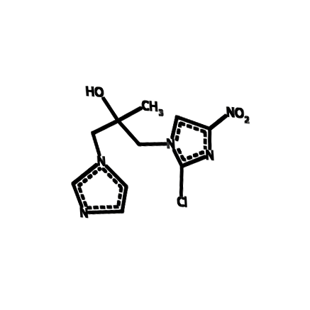 CC(O)(Cn1ccnc1)Cn1cc([N+](=O)[O-])nc1Cl